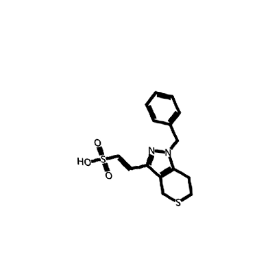 O=S(=O)(O)/C=C/c1nn(Cc2ccccc2)c2c1CSCC2